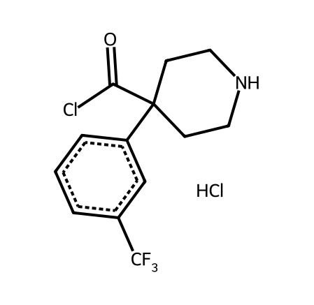 Cl.O=C(Cl)C1(c2cccc(C(F)(F)F)c2)CCNCC1